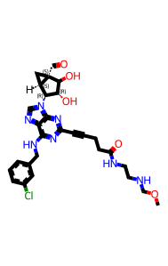 COCNCCNC(=O)CCC#Cc1nc(NCc2cccc(Cl)c2)c2ncn([C@@H]3[C@H]4C[C@@]4(C=O)C(O)[C@@H]3O)c2n1